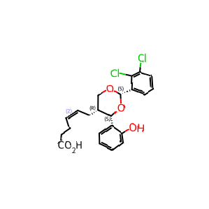 O=C(O)CC/C=C\C[C@@H]1CO[C@H](c2cccc(Cl)c2Cl)O[C@@H]1c1ccccc1O